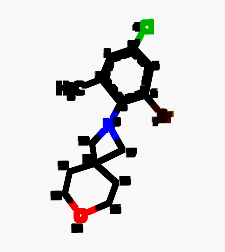 Cc1cc(Cl)cc(Br)c1N1CC2(CCOCC2)C1